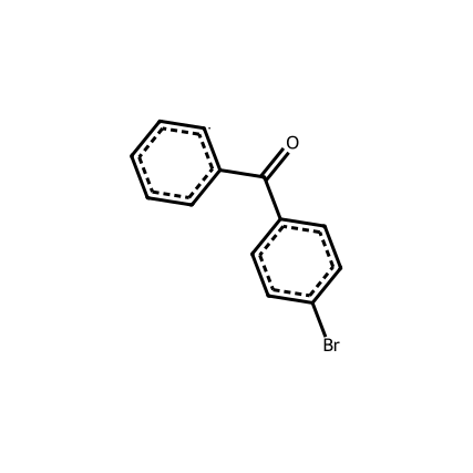 O=C(c1[c]cccc1)c1ccc(Br)cc1